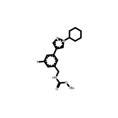 CC(C)(C)OC(=O)NCc1cc(F)cc(-c2cnn(C3CCCCC3)c2)c1